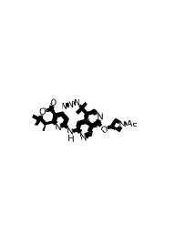 CC(=O)N1CC(Oc2ncc(C(C)(C)N=[N+]=[N-])c3cc(Nc4ccc5c(n4)[C@@H](C)C(C)(C)OC5=O)ncc23)C1